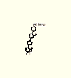 CCCCCC1CCC(c2ccc(-c3ccc(-c4ccc(C)c(F)c4F)cc3)cc2F)CC1